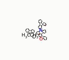 CC1(C)c2ccccc2-c2cccc(-c3ccccc3-c3ccc(N(c4ccc5c(c4)C4(CC6CCC4C6)c4ccccc4-5)c4ccccc4-c4cccc5oc6ccccc6c45)cc3)c21